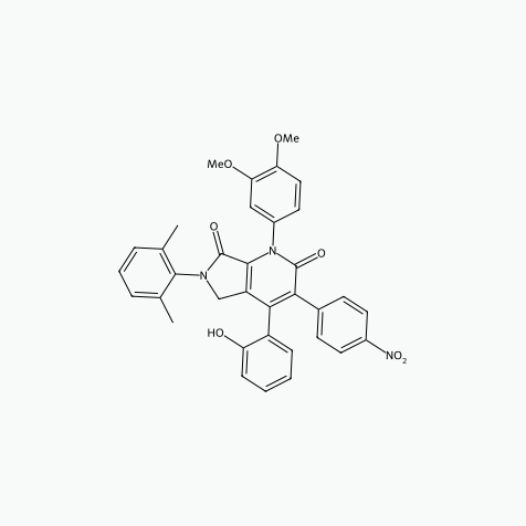 COc1ccc(-n2c3c(c(-c4ccccc4O)c(-c4ccc([N+](=O)[O-])cc4)c2=O)CN(c2c(C)cccc2C)C3=O)cc1OC